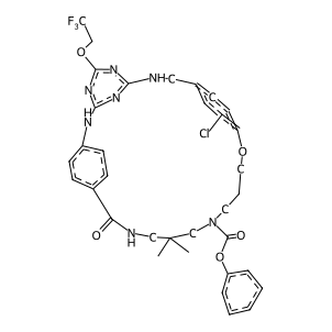 CC1(C)CNC(=O)c2ccc(cc2)Nc2nc(nc(OCC(F)(F)F)n2)NCc2ccc(c(Cl)c2)OCCCN(C(=O)Oc2ccccc2)C1